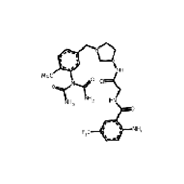 COc1ccc(CN2CC[C@@H](NC(=O)CNC(=O)c3cc(C(F)(F)F)ccc3N)C2)cc1N(C(N)=O)C(N)=O